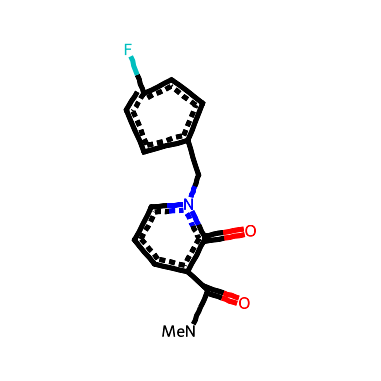 CNC(=O)c1cccn(Cc2ccc(F)cc2)c1=O